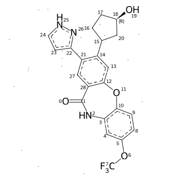 O=C1Nc2cc(OC(F)(F)F)ccc2Oc2cc(C3CC[C@@H](O)C3)c(-c3cc[nH]n3)cc21